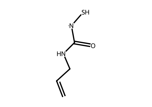 C=CCNC(=O)[N]S